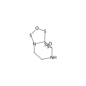 C1CN2SOSC23SOSC3N1